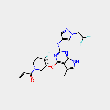 C=CC(=O)N1CC[C@@H](F)[C@@H](Oc2nc(Nc3cnn(CC(F)F)c3)nc3[nH]cc(C)c23)C1